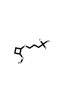 CC(C)OC1CCC1OCCCC(F)(F)C(C)C